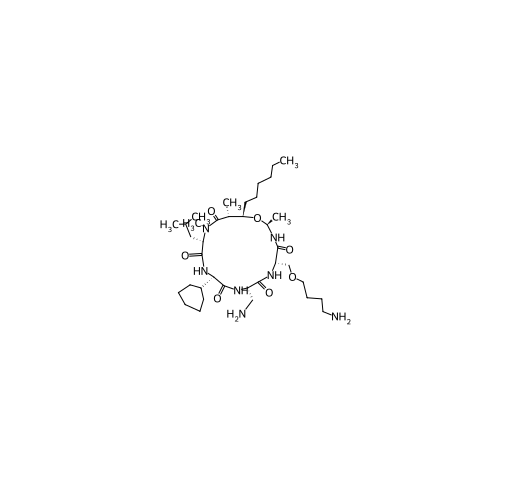 CCCCCC[C@H]1O[C@@H](C)NC(=O)[C@H](COCCCCN)NC(=O)[C@H](CN)NC(=O)[C@H](C2CCCCC2)NC(=O)[C@H](CC(C)C)N(C)C(=O)[C@@H]1C